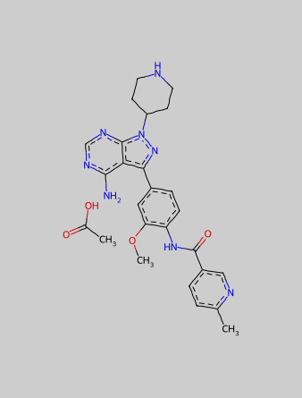 CC(=O)O.COc1cc(-c2nn(C3CCNCC3)c3ncnc(N)c23)ccc1NC(=O)c1ccc(C)nc1